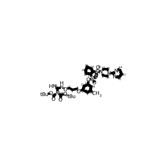 Cc1cc(OCCCONC(=N)N(C(=O)OC(C)(C)C)C(=O)OC(C)(C)C)cc(OS(=O)(=O)c2ccccc2S(=O)(=O)N2CCN(c3ncccn3)CC2)c1